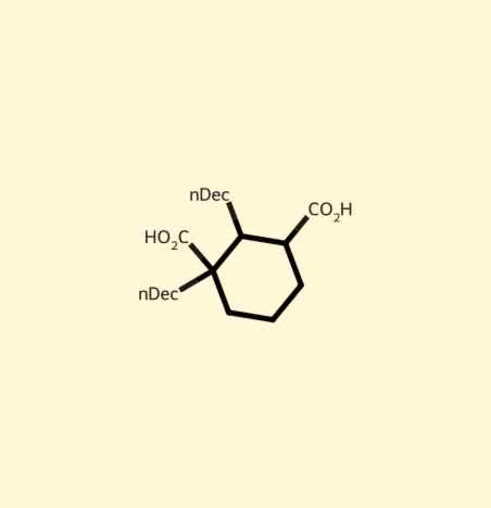 CCCCCCCCCCC1C(C(=O)O)CCCC1(CCCCCCCCCC)C(=O)O